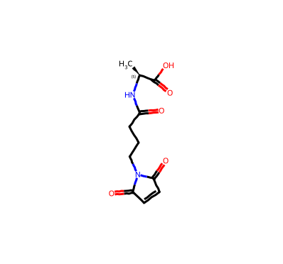 C[C@H](NC(=O)CCCN1C(=O)C=CC1=O)C(=O)O